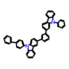 c1ccc(-c2ccc(-n3c4ccccc4c4cc(-c5cccc(-c6ccc7c8ccccc8n(-c8ccccc8)c7c6)c5)ccc43)cc2)cc1